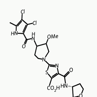 COC1CN(c2nc(C(=O)N[C@@H]3CCOC3)c(C(=O)O)s2)CCC1NC(=O)c1[nH]c(C)c(Cl)c1Cl